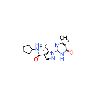 Cc1cc(=O)[nH]c(-n2ncc(C(=O)NC3CCCC3)c2C(F)(F)F)n1